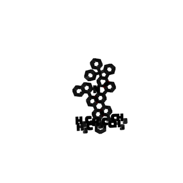 CC(C)(C)c1ccc(-c2ccc(N(C3=CC4=C(CC3)c3ccccc3C4(c3ccccc3)c3ccccc3)c3ccc4ccccc4c3-c3ccc(-c4ccc5c(c4)C(C)(C)c4ccccc4-5)cc3)c(-c3c#cccc3)c2)cc1